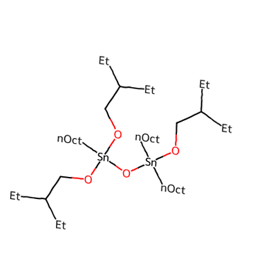 CCCCCCC[CH2][Sn]([CH2]CCCCCCC)([O]CC(CC)CC)[O][Sn]([CH2]CCCCCCC)([O]CC(CC)CC)[O]CC(CC)CC